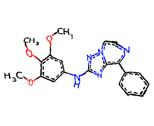 COc1cc(Nc2nc3c(-c4ccccc4)nccn3n2)cc(OC)c1OC